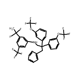 CC(F)(F)c1cc(NCC(Cc2ccccc2)(c2cccc(OC(F)(F)F)c2)c2cccc(OC(F)(F)F)c2)cc(C(F)(F)F)c1